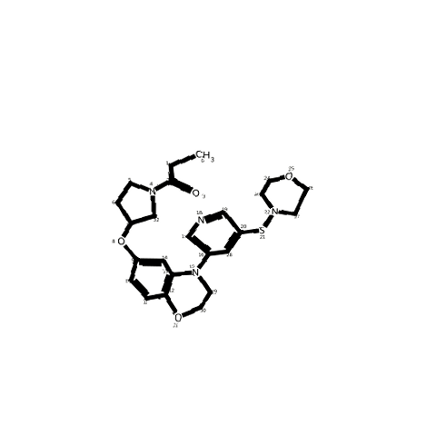 CCC(=O)N1CCC(Oc2ccc3c(c2)N(c2cncc(SN4CCOCC4)c2)CCO3)C1